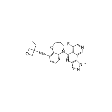 CCC1(C#Cc2cccc3c2OCCCN3c2nc3nnn(C)c3c3cncc(F)c23)COC1